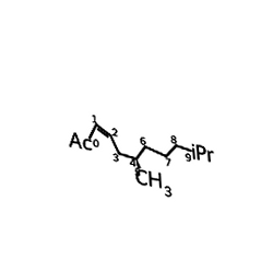 CC(=O)/C=C\C[C@H](C)CCCC(C)C